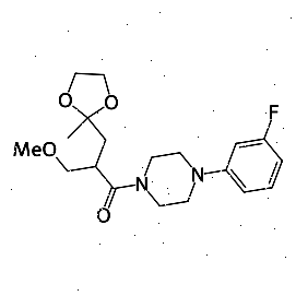 COCC(CC1(C)OCCO1)C(=O)N1CCN(c2cccc(F)c2)CC1